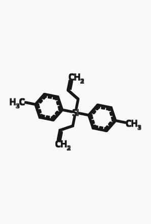 C=CC[Si](CC=C)(c1ccc(C)cc1)c1ccc(C)cc1